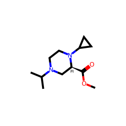 COC(=O)[C@H]1CN(C(C)C)CCN1C1CC1